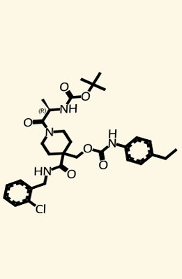 CCc1ccc(NC(=O)OCC2(C(=O)NCc3ccccc3Cl)CCN(C(=O)[C@@H](C)NC(=O)OC(C)(C)C)CC2)cc1